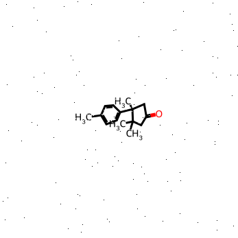 Cc1ccc([C@]2(C)CC(=O)CC2(C)C)cc1